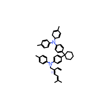 C=C/C(=C\C=C(C)C)CN(c1ccc(C)cc1)c1ccc(C2(c3ccc(N(c4ccc(C)cc4)C4C=CC(C)=CC4)cc3)CCCCC2)cc1